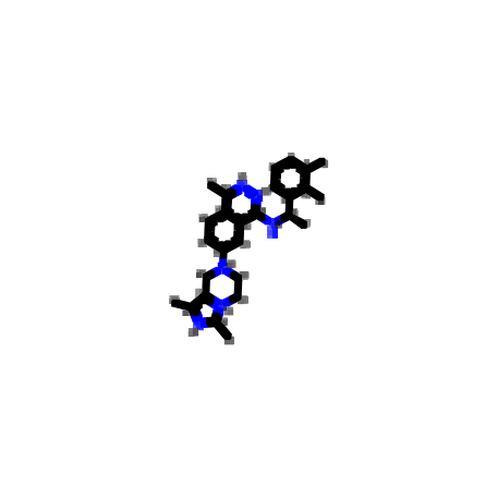 Cc1cccc([C@@H](C)Nc2nnc(C)c3ccc(N4CCn5c(C)nc(C)c5C4)cc23)c1C